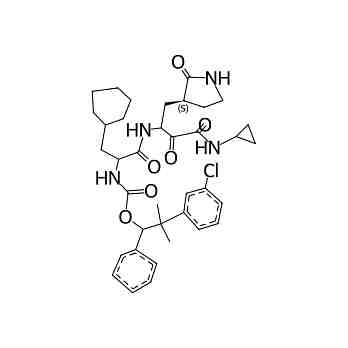 CC(C)(c1cccc(Cl)c1)C(OC(=O)NC(CC1CCCCC1)C(=O)NC(C[C@@H]1CCNC1=O)C(=O)C(=O)NC1CC1)c1ccccc1